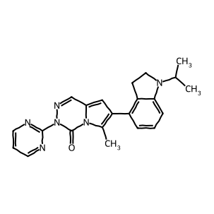 Cc1c(-c2cccc3c2CCN3C(C)C)cc2cnn(-c3ncccn3)c(=O)n12